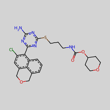 Nc1nc(SCCCNC(=O)OC2CCOCC2)nc(-c2c(Cl)cc3c4c(cccc24)COC3)n1